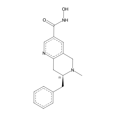 CN1Cc2cc(C(=O)NO)cnc2C[C@@H]1Cc1ccccc1